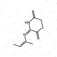 C=C1CSC(=C)/C(=N\C(C)=C/C)N1